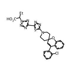 CCC(C(=O)O)n1nnc(-c2nnc(N3CCC4(C=C(c5ccccc5Cl)c5ccccc5O4)CC3)s2)n1